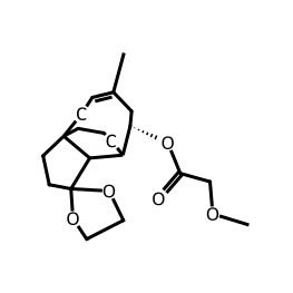 COCC(=O)O[C@H]1C/C(C)=C\CC23CCCC1C2C1(CC3)OCCO1